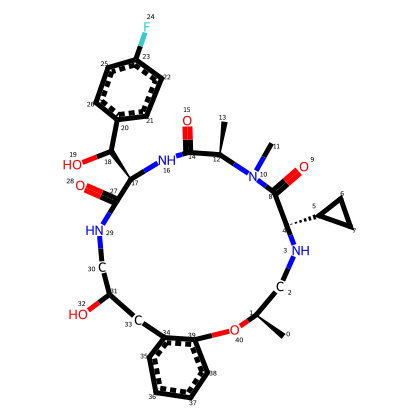 C[C@@H]1CN[C@@H](C2CC2)C(=O)N(C)[C@H](C)C(=O)N[C@H](C(O)c2ccc(F)cc2)C(=O)NCC(O)Cc2ccccc2O1